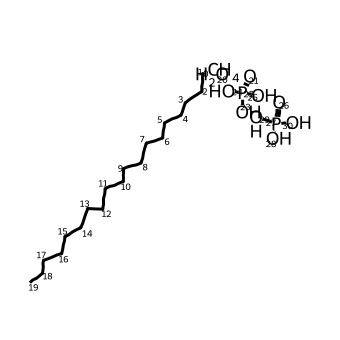 C.CCCCCCCCCCCCCCCCCCC.O.O=P(O)(O)O.O=P(O)(O)O